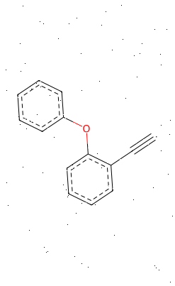 [C]#Cc1ccccc1Oc1ccccc1